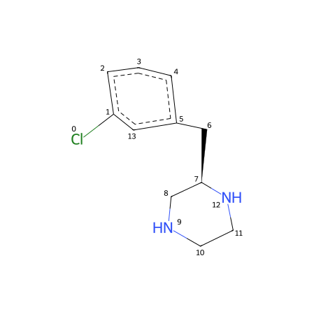 Clc1cccc(C[C@@H]2CNCCN2)c1